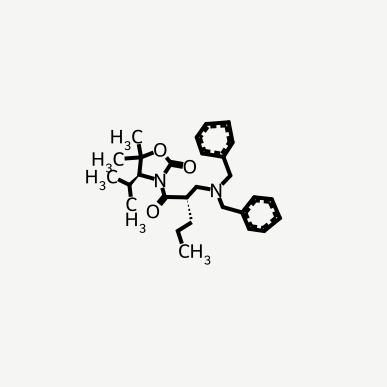 CCC[C@@H](CN(Cc1ccccc1)Cc1ccccc1)C(=O)N1C(=O)OC(C)(C)[C@@H]1C(C)C